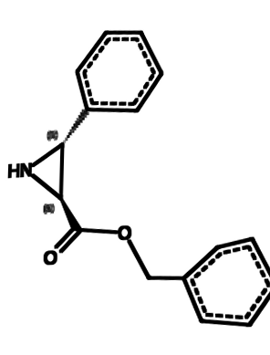 O=C(OCc1ccccc1)[C@H]1N[C@@H]1c1ccccc1